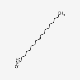 CCCCCCCCC=CCCCCCCCC[NH2+][O-]